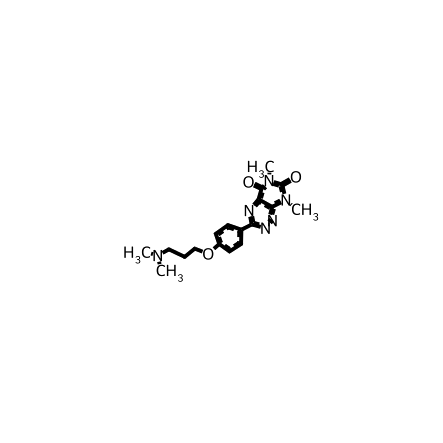 CN(C)CCCOc1ccc(-c2nnc3c(n2)c(=O)n(C)c(=O)n3C)cc1